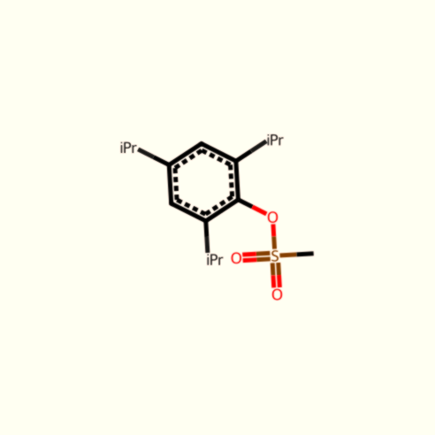 CC(C)c1cc(C(C)C)c(OS(C)(=O)=O)c(C(C)C)c1